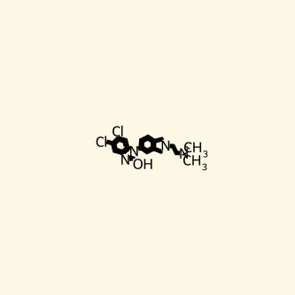 CN(C)CCN1Cc2ccc(-n3c(O)nc4cc(Cl)c(Cl)cc43)cc2C1